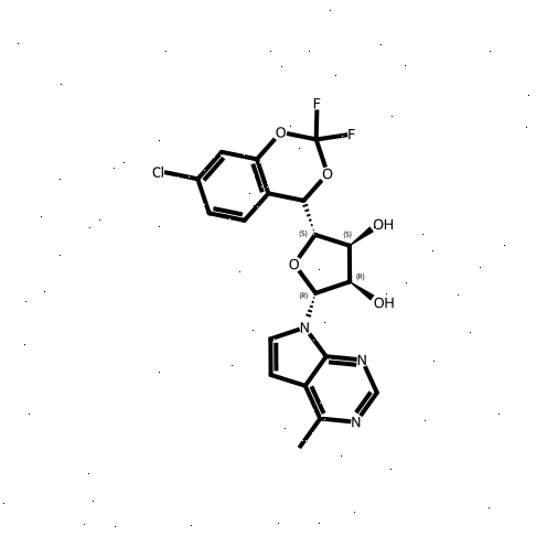 Cc1ncnc2c1ccn2[C@@H]1O[C@H](C2OC(F)(F)Oc3cc(Cl)ccc32)[C@@H](O)[C@H]1O